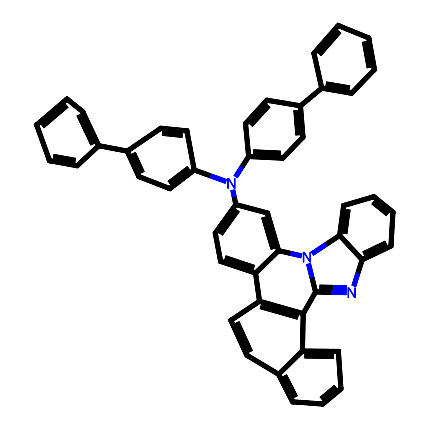 c1ccc(-c2ccc(N(c3ccc(-c4ccccc4)cc3)c3ccc4c5ccc6ccccc6c5c5nc6ccccc6n5c4c3)cc2)cc1